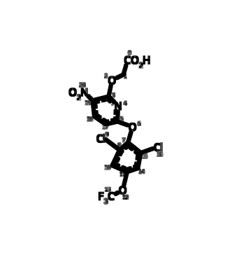 O=C(O)COc1nc(Oc2c(Cl)cc(OC(F)(F)F)cc2Cl)ccc1[N+](=O)[O-]